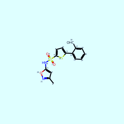 Cc1cc(NS(=O)(=O)c2ccc(-c3ccccc3C=O)s2)on1